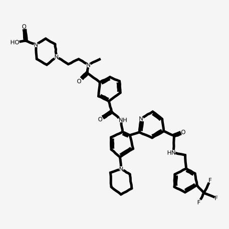 CN(CCN1CCN(C(=O)O)CC1)C(=O)c1cccc(C(=O)Nc2ccc(N3CCCCC3)cc2-c2cc(C(=O)NCc3cccc(C(F)(F)F)c3)ccn2)c1